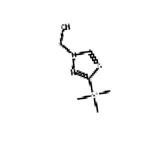 C[N+](C)(C)c1ncn(CC#N)n1